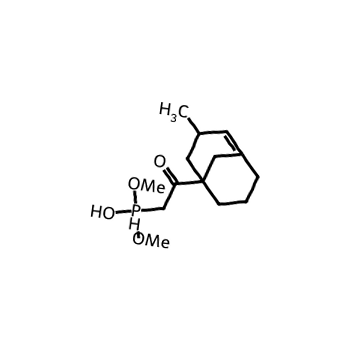 CO[PH](O)(CC(=O)C12CCCC(=CC(C)C1)C2)OC